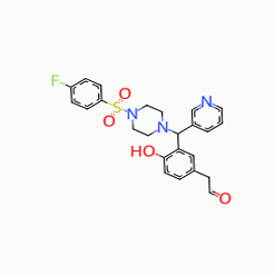 O=CCc1ccc(O)c(C(c2cccnc2)N2CCN(S(=O)(=O)c3ccc(F)cc3)CC2)c1